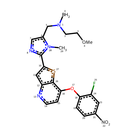 BN(CCOC)Cc1cnc(-c2cc3nccc(Oc4ccc([N+](=O)[O-])cc4F)c3s2)n1C